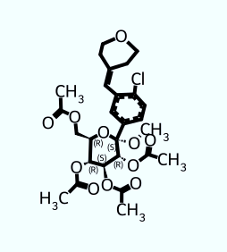 CO[C@@]1(c2ccc(Cl)c(C=C3CCOCC3)c2)O[C@H](COC(C)=O)[C@@H](OC(C)=O)[C@H](OC(C)=O)[C@H]1OC(C)=O